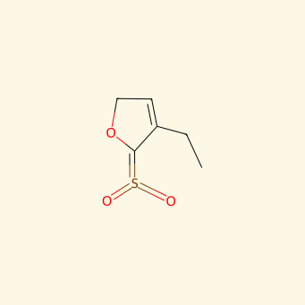 CCC1=CCOC1=S(=O)=O